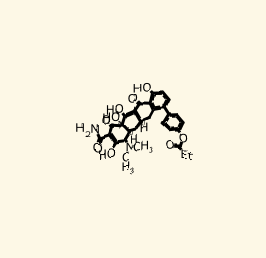 CCC(=O)Oc1ccc(-c2ccc(O)c3c2C[C@H]2C[C@H]4C(N(C)C)C(O)=C(C(N)=O)C(=O)[C@@]4(O)C(O)=C2C3=O)cc1